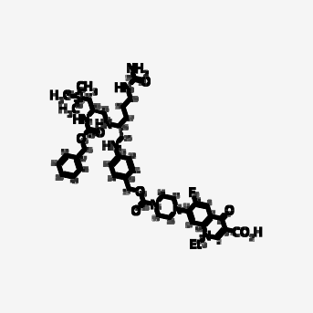 CCn1cc(C(=O)O)c(=O)c2cc(F)c(N3CCN(C(=O)OCc4ccc(NC[C@@H](CCCNC(N)=O)NC[C@H](C[Si](C)(C)C)NC(=O)OCc5ccccc5)cc4)CC3)cc21